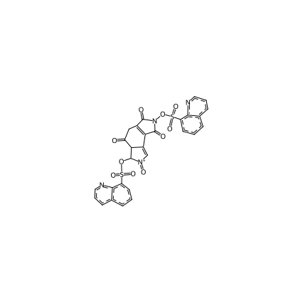 O=C1CC2=C(C(=O)N(OS(=O)(=O)c3cccc4cccnc34)C2=O)C2=C[N+](=O)C(OS(=O)(=O)c3cccc4cccnc34)C12